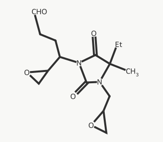 CCC1(C)C(=O)N(C(CCC=O)C2CO2)C(=O)N1CC1CO1